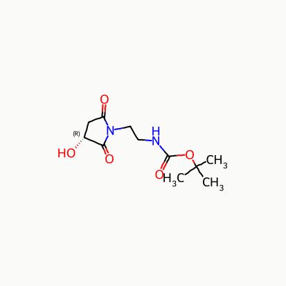 CC(C)(C)OC(=O)NCCN1C(=O)C[C@@H](O)C1=O